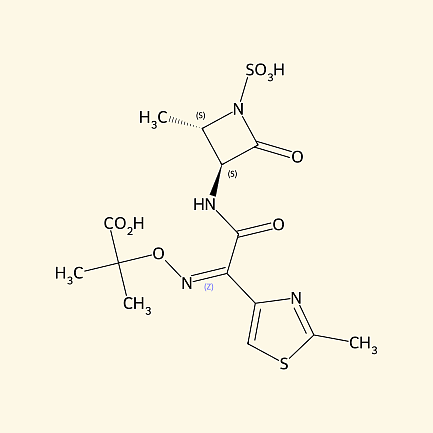 Cc1nc(/C(=N/OC(C)(C)C(=O)O)C(=O)N[C@@H]2C(=O)N(S(=O)(=O)O)[C@H]2C)cs1